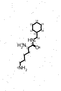 NCCCC[C@H](N)C(=O)NCC1CCCCC1